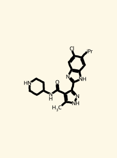 Cc1[nH]nc(-c2nc3cc(Cl)c(C(C)C)cc3[nH]2)c1C(=O)NC1CCNCC1